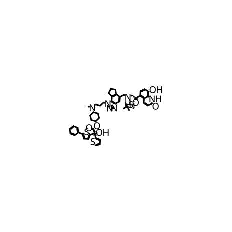 CN(CCCn1nnc2cc(CNC[C@H](O[Si](C)(C)C(C)(C)C)c3ccc(O)c4[nH]c(=O)ccc34)c3c(c21)CCC3)[C@H]1CC[C@H](OC(=O)[C@](O)(c2cccs2)c2ccc(-c3ccccc3)s2)CC1